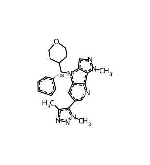 Cc1nnn(C)c1-c1cnc2c3c(cnn3C)n([C@H](c3ccccc3)C3CCOCC3)c2c1